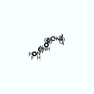 CCOP(=O)(CCN1CCC(N(C)S(=O)(=O)c2ccc(Nc3nccc(Nc4ccc(F)c(F)c4)n3)cc2)CC1)OCC